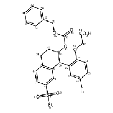 CCS(=O)(=O)c1ccc2c(c1)C(c1cc(F)ccc1OCC(=O)O)N(OC(=O)OCc1ccccc1)CC2